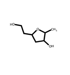 CC1OC(CCO)CC1O